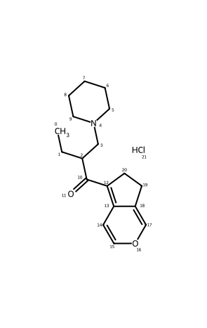 CCC(CN1CCCCC1)C(=O)C1=C2C=COC=C2CC1.Cl